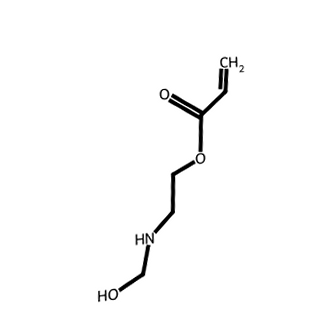 C=CC(=O)OCCNCO